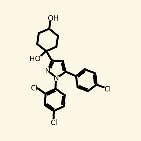 OC1CCC(O)(c2cc(-c3ccc(Cl)cc3)n(-c3ccc(Cl)cc3Cl)n2)CC1